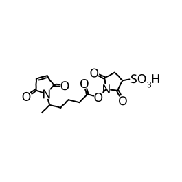 CC(CCCC(=O)ON1C(=O)CC(S(=O)(=O)O)C1=O)N1C(=O)C=CC1=O